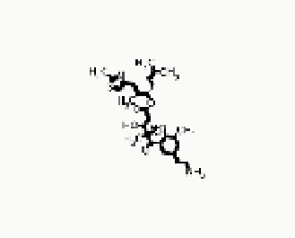 CC(C)=CC[C@H](OC(=O)C[C@H](O)C(C)(C)C(=O)[C@@H]1C/C(=C/CN)C[C@H](C)[C@@H]1O)/C(C)=C/c1csc(C)n1